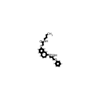 CCCCNC(=O)COc1ccc2c(c1)CC(NCC(O)COc1ccccc1)CCC2